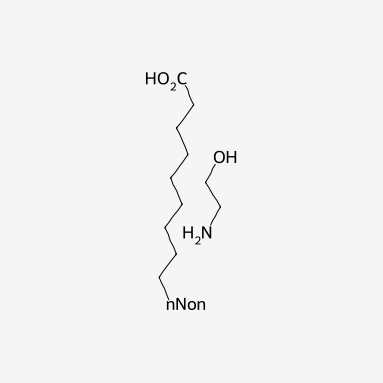 CCCCCCCCCCCCCCCCCC(=O)O.NCCO